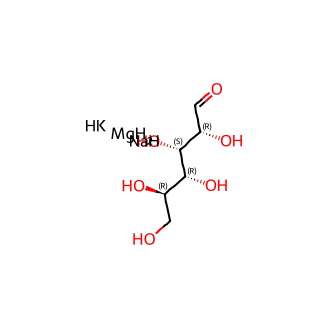 O=C[C@H](O)[C@@H](O)[C@H](O)[C@H](O)CO.[KH].[MgH2].[NaH]